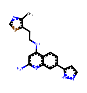 Cc1ncsc1CCNc1cc(N)nc2cc(-c3ccn[nH]3)ccc12